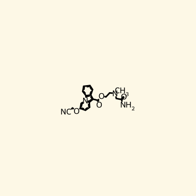 CN(CCOC(=O)c1c2ccccc2n2cc(OCC#N)ccc12)CC(N)=O